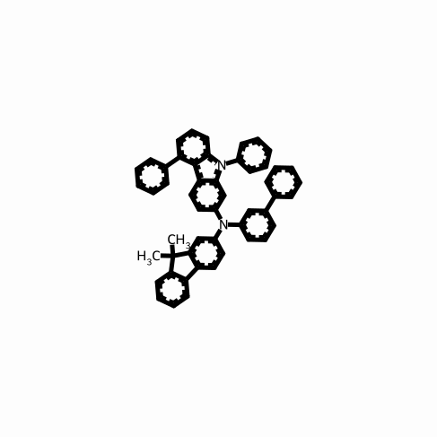 CC1(C)c2ccccc2-c2ccc(N(c3cccc(-c4ccccc4)c3)c3ccc4c5c(-c6ccccc6)cccc5n(-c5ccccc5)c4c3)cc21